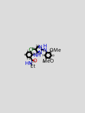 CCNC(=O)c1ccccc1Nc1nc(Nc2cc(OC)ccc2OC)ncc1Cl